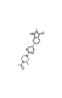 CC(=O)N1CCN(c2ncc(-c3ccc4c(=O)n(C)[nH]c4c3)cn2)CC1C